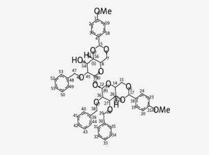 COc1ccc(C2OCC3O[C@H](O[C@H]4OC5COC(c6ccc(OC)cc6)O[C@@H]5C(OCc5ccccc5)C4OCc4ccccc4)C(OCc4ccccc4)C(O)[C@@H]3O2)cc1